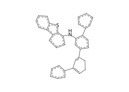 C1=C(c2ccccc2)C=C(c2ccc(-c3ccccc3)c(Nc3cccc4c3sc3ccccc34)c2)CC1